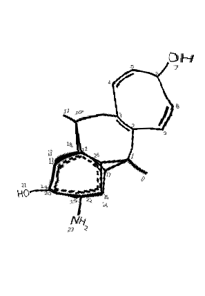 CC12C3=C(C=CC(O)C=C3)C(C)(c3ccccc31)c1cc(O)c(N)cc12